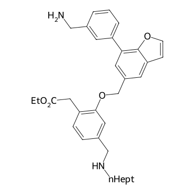 CCCCCCCNCc1ccc(CC(=O)OCC)c(OCc2cc(-c3cccc(CN)c3)c3occc3c2)c1